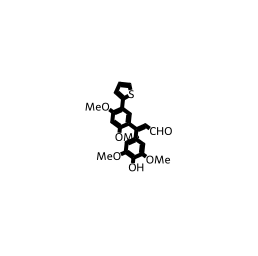 COc1cc(OC)c(-c2cccs2)cc1C(=CC=O)c1cc(OC)c(O)c(OC)c1